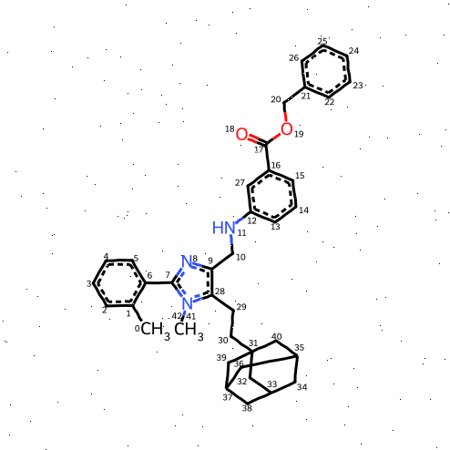 Cc1ccccc1-c1nc(CNc2cccc(C(=O)OCc3ccccc3)c2)c(CCC23CC4CC(CC(C4)C2)C3)n1C